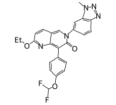 CCOc1ccc2cn(-c3ccc4nnn(C)c4c3)c(=O)c(-c3ccc(OC(F)F)cc3)c2n1